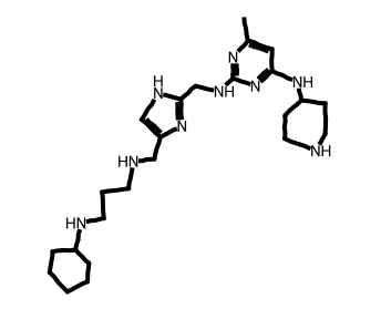 Cc1cc(NC2CCNCC2)nc(NCc2nc(CNCCCNC3CCCCC3)c[nH]2)n1